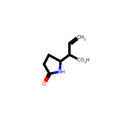 C=CC(C(=O)O)C1CCC(=O)N1